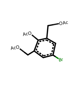 CC(=O)OCc1cc(Br)cc(COC(C)=O)c1OC(C)=O